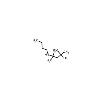 CCCCNC(C)(C)CC(C)(C)C